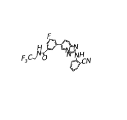 N#Cc1ccccc1Nc1nc2ccc(-c3cc(F)cc(C(=O)NCC(F)(F)F)c3)cn2n1